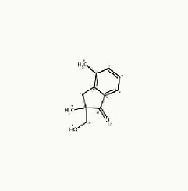 Cc1cccc2c1CC(C)(CO)C2=O